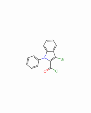 O=C(Cl)c1c(Br)c2ccccc2n1-c1ccccc1